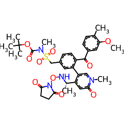 COc1cc(C(=O)c2ccc(CS(=O)(=O)N(C)C(=O)OC(C)(C)C)cc2-c2cn(C)c(=O)cc2[C@H](C)NON2C(=O)CCC2=O)ccc1C